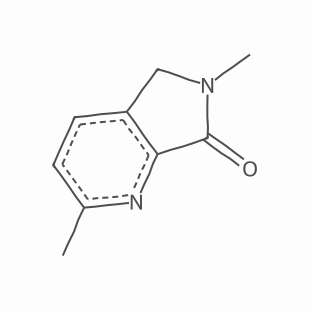 Cc1ccc2c(n1)C(=O)N(C)C2